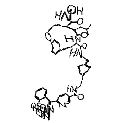 CC(C)CC1C(=O)NC(C(=O)NCc2ccc(CNC(=O)c3ccc(C(=NN)c4ccccc4S(=O)(=O)O)nc3)cc2)Cc2ccc(cc2)OCCCC1C(=O)NO